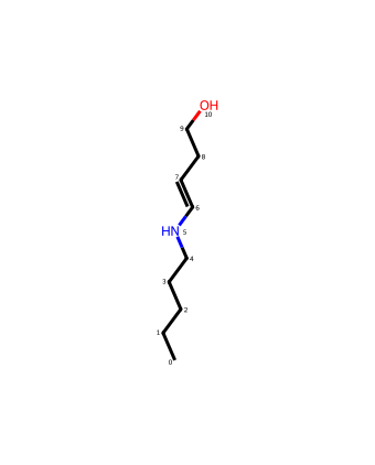 CCCCCNC=CCCO